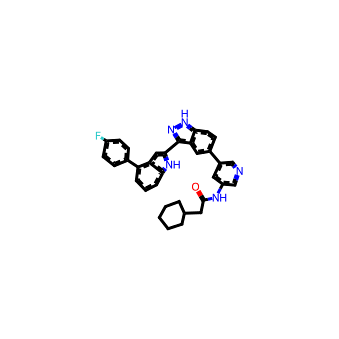 O=C(CC1CCCCC1)Nc1cncc(-c2ccc3[nH]nc(-c4cc5c(-c6ccc(F)cc6)cccc5[nH]4)c3c2)c1